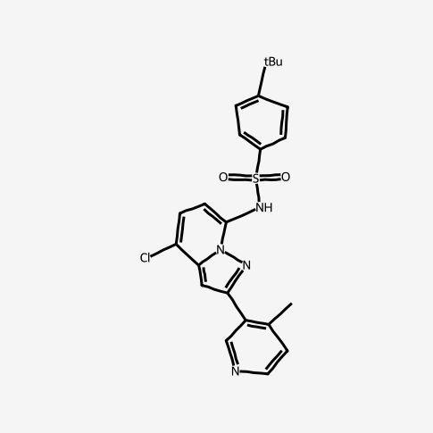 Cc1ccncc1-c1cc2c(Cl)ccc(NS(=O)(=O)c3ccc(C(C)(C)C)cc3)n2n1